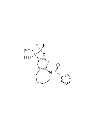 O=C(c1cccs1)N1CCCCc2cc(C(O)(CF)C(F)(F)F)ccc21